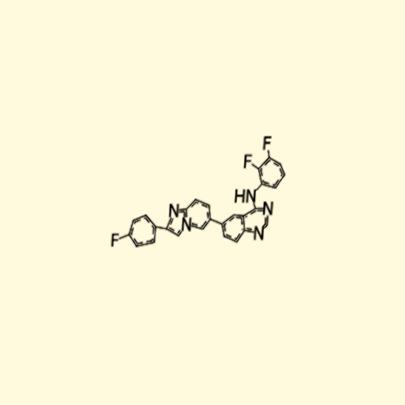 Fc1ccc(-c2cn3cc(-c4ccc5ncnc(Nc6cccc(F)c6F)c5c4)ccc3n2)cc1